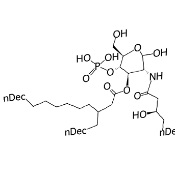 CCCCCCCCCCCCCCCCC(CCCCCCCCCCC)CC(=O)O[C@H]1[C@H](OP(=O)(O)O)[C@@H](CO)OC(O)[C@@H]1NC(=O)C[C@H](O)CCCCCCCCCCC